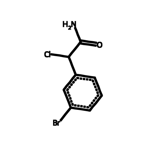 NC(=O)C(Cl)c1cccc(Br)c1